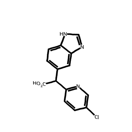 O=C(O)C(c1ccc2[nH]cnc2c1)c1ccc(Cl)cn1